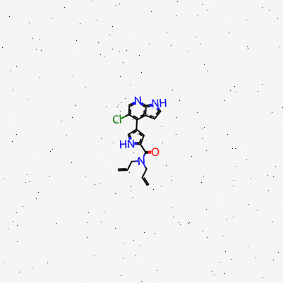 C=CCN(CC=C)C(=O)c1cc(-c2c(Cl)cnc3[nH]ccc23)c[nH]1